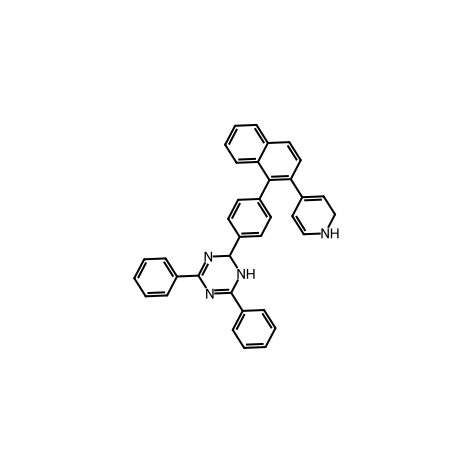 C1=CC(c2ccc3ccccc3c2-c2ccc(C3N=C(c4ccccc4)N=C(c4ccccc4)N3)cc2)=CCN1